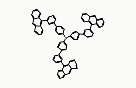 c1cc(-c2ccc(N(c3ccc(-c4cccc(-c5c6ccccc6cc6ccccc56)c4)cc3)c3ccc(-c4cccc(-c5c6ccccc6cc6ccccc56)c4)cc3)cc2)cc(-c2c3ccccc3cc3ccccc23)c1